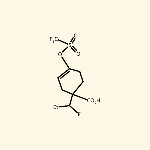 CCC(F)C1(C(=O)O)CC=C(OS(=O)(=O)C(F)(F)F)CC1